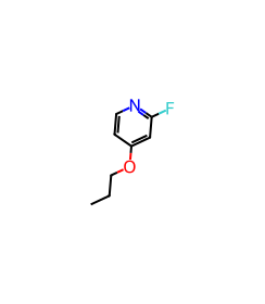 CCCOc1ccnc(F)c1